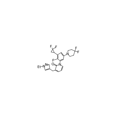 CCn1cc(Cc2cccn(-c3cc(N4CCC(F)(F)CC4)cc(C4CC4(F)F)c3F)c2=O)cn1